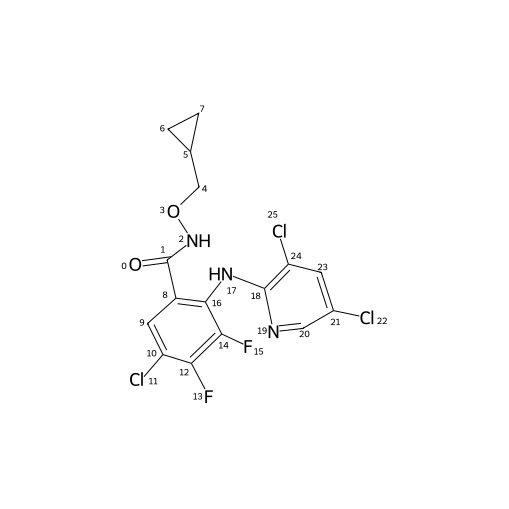 O=C(NOCC1CC1)c1cc(Cl)c(F)c(F)c1Nc1ncc(Cl)cc1Cl